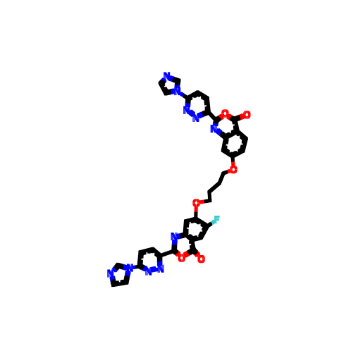 O=c1oc(-c2ccc(-n3ccnc3)nn2)nc2cc(OCCCCOc3cc4nc(-c5ccc(-n6ccnc6)nn5)oc(=O)c4cc3F)ccc12